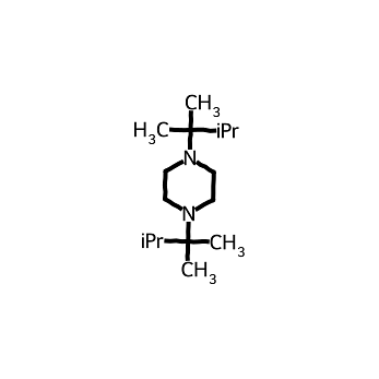 CC(C)C(C)(C)N1CCN(C(C)(C)C(C)C)CC1